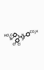 O=C(O)c1ccc(-c2csc(N(Cc3ccc(C(=O)O)c(Br)c3)c3ccc(Cl)c(Cl)c3)n2)cc1